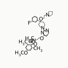 COc1cc(C)c(S(=O)(=O)N(C)CCOc2ccnc(N3CCC(OCCN4CCCC4)(c4cccc(F)c4)CC3)n2)c(C)c1